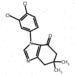 CC1(C)CC(=O)c2c(ncn2-c2ccc(Cl)c(Cl)c2)C1